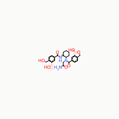 NC(=O)CN(C(=O)c1ccc2c(c1)B(O)OC2)C1CCCC[C@H]1NC(=O)c1ccc(CO)c(BO)c1